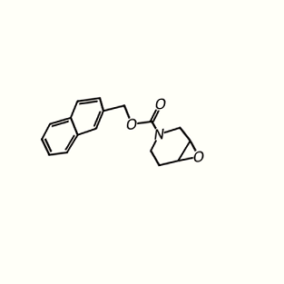 O=C(OCc1ccc2ccccc2c1)N1CCC2OC2C1